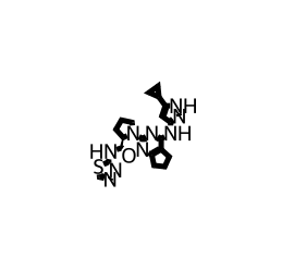 O=C(Nc1nncs1)[C@H]1CCCN1c1nc2c(c(Nc3cc(C4CC4)[nH]n3)n1)CCC2